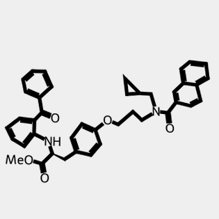 COC(=O)[C@H](Cc1ccc(OCCCN(CC2CC2)C(=O)c2ccc3ccccc3c2)cc1)Nc1ccccc1C(=O)c1ccccc1